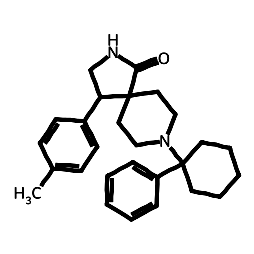 Cc1ccc(C2CNC(=O)C23CCN(C2(c4ccccc4)CCCCC2)CC3)cc1